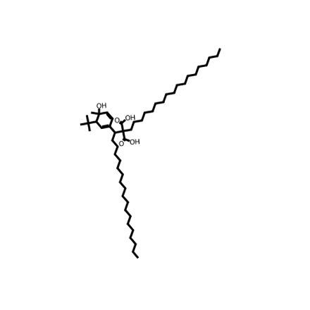 CCCCCCCCCCCCCCCCCCC(C1=CC(C(C)(C)C)C(C)(O)C=C1)C(CCCCCCCCCCCCCCCCCC)(C(=O)O)C(=O)O